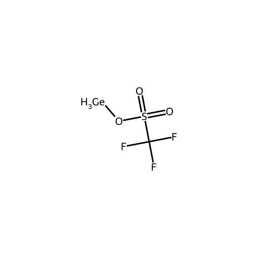 O=S(=O)([O][GeH3])C(F)(F)F